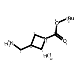 CC(C)(C)OC(=O)N1CC(CN)C1.Cl